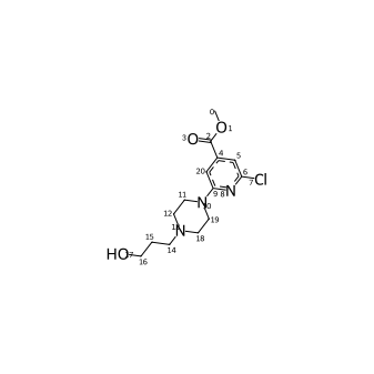 COC(=O)c1cc(Cl)nc(N2CCN(CCCO)CC2)c1